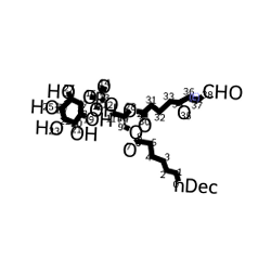 CCCCCCCCCCCCCCCC(=O)OC[C@H](COP(=O)(O)OC1C(O)C(O)C(O)[C@@H](O)C1O)OC(=O)CCCC(=O)/C=C/C=O